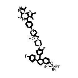 Cc1sc2c(c1C)C(c1ccc(N3CCC(O)(CN4CCN(c5ccc(C6c7ccc(O[Si](C(C)C)(C(C)C)C(C)C)cc7CCC6c6ccc(F)cc6)cc5F)CC4)CC3)cc1)=N[C@@H](C)c1nnc(C)n1-2